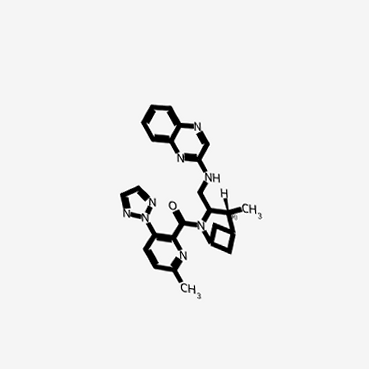 Cc1ccc(-n2nccn2)c(C(=O)N2C3CC(C3)[C@@H](C)C2CNc2cnc3ccccc3n2)n1